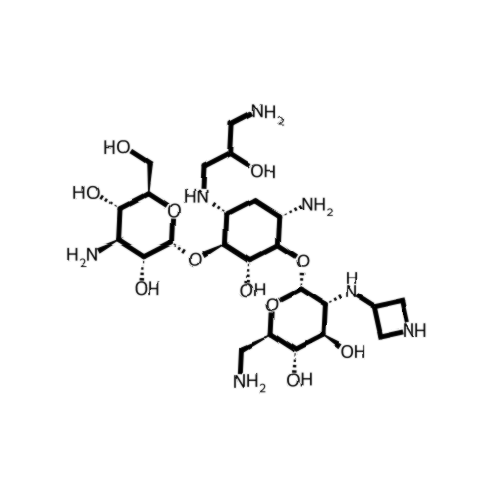 NCC(O)CN[C@@H]1C[C@H](N)C(O[C@H]2O[C@H](CN)[C@@H](O)[C@H](O)[C@H]2NC2CNC2)[C@H](O)[C@H]1O[C@H]1O[C@H](CO)[C@@H](O)[C@H](N)[C@H]1O